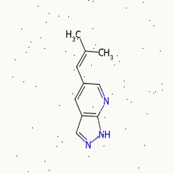 CC(C)=Cc1cnc2[nH]ncc2c1